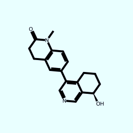 CN1C(=O)CCc2cc(-c3cncc4c3CCC[C@H]4O)ccc21